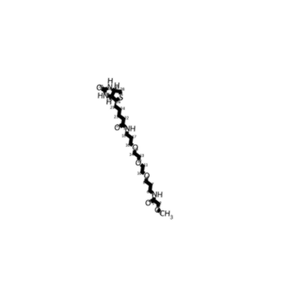 COCC(=O)NCCCOCCOCCOCCCNC(=O)CCCC[C@@H]1SC[C@@H]2NC(=O)N[C@@H]21